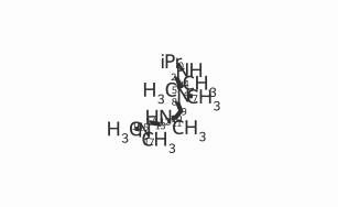 CC(C)NCC(C)(C)N(C)CCC(C)NCCN(C)C